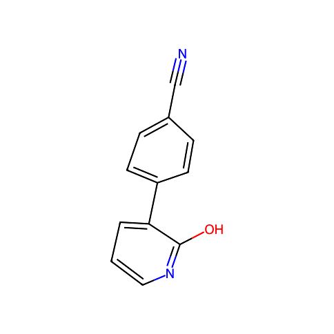 N#Cc1ccc(-c2cccnc2O)cc1